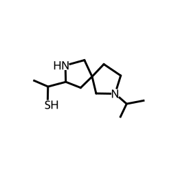 CC(S)C1CC2(CCN(C(C)C)C2)CN1